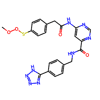 COOSc1ccc(CC(=O)Nc2cc(C(=O)NCc3ccc(-c4nnn[nH]4)cc3)ncn2)cc1